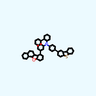 c1ccc(-c2ccccc2N(c2ccc(-c3ccc4sc5ccccc5c4c3)cc2)c2cccc(-c3cccc4oc5c6ccccc6ccc5c34)c2)cc1